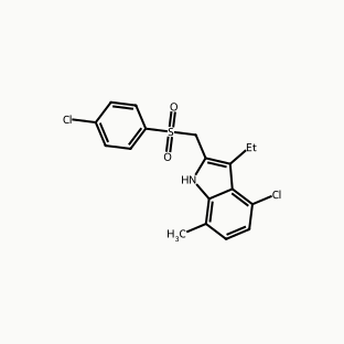 [CH2]Cc1c(CS(=O)(=O)c2ccc(Cl)cc2)[nH]c2c(C)ccc(Cl)c12